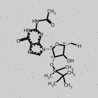 [2H]C[C@H]1O[C@@H](n2cnc3c(=O)[nH]c(NC(C)=O)nc32)[C@@H](O[Si](C)(C)C(C)(C)C)C1O